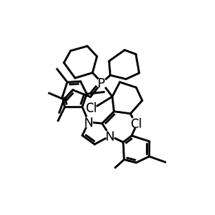 CC(C)=CC=P(C1CCCCC1)(C1CCCCC1)C1(Cl)CCCC(Cl)C1=C1N(c2c(C)cc(C)cc2C)C=CN1c1c(C)cc(C)cc1C